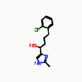 Cc1nc(C(O)CCCc2ccccc2Cl)c[nH]1